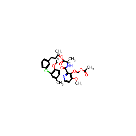 COc1ccnc(C(=O)N[C@@H](C)C(=O)O[C@@H](C)[C@@H](COc2ccc(C)cc2Cl)Cc2ccccc2)c1OCOC(C)=O